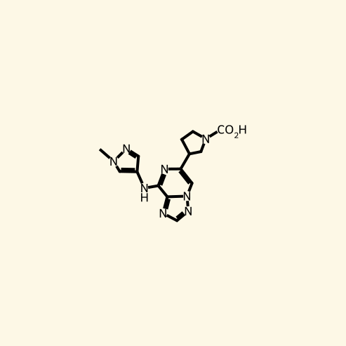 Cn1cc(Nc2nc(C3CCN(C(=O)O)C3)cn3ncnc23)cn1